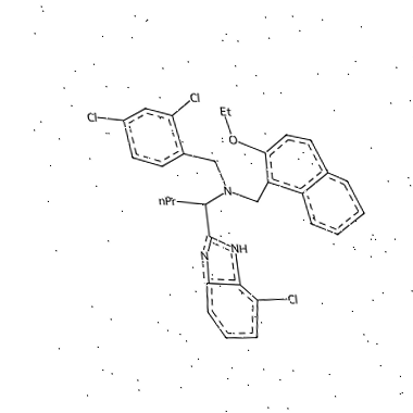 CCCC(c1nc2cccc(Cl)c2[nH]1)N(Cc1ccc(Cl)cc1Cl)Cc1c(OCC)ccc2ccccc12